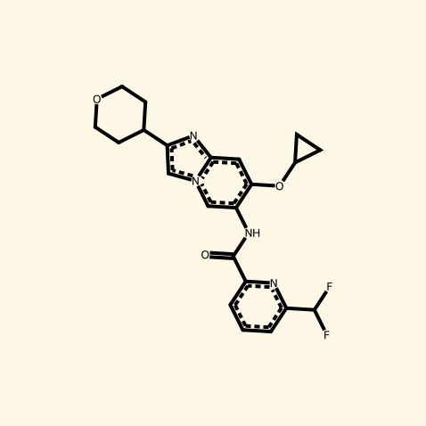 O=C(Nc1cn2cc(C3CCOCC3)nc2cc1OC1CC1)c1cccc(C(F)F)n1